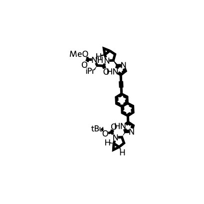 COC(=O)N[C@H](C(=O)N1[C@@H]2CC2C[C@H]1c1ncc(C#Cc2ccc3cc(-c4cnc([C@@H]5C[C@H]6C[C@H]6N5C(=O)OC(C)(C)C)[nH]4)ccc3c2)[nH]1)C(C)C